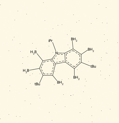 Bc1c(C(C)(C)C)c(B)c2c3c(B)c(C(C)(C)C)c(B)c(B)c3n(C(C)C)c2c1B